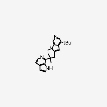 Cn1c(CC(C)(C)c2nccc3cc[nH]c23)cc2c(C(C)(C)C)cncc21